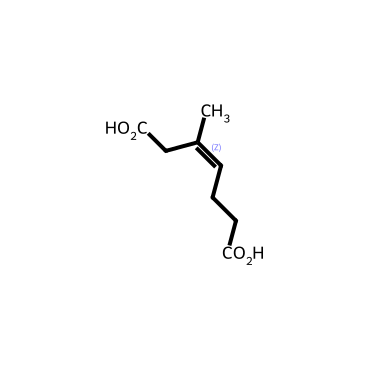 C/C(=C/CCC(=O)O)CC(=O)O